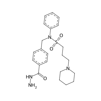 NNC(=O)c1ccc(CN(c2ccccc2)S(=O)(=O)CCCN2CCCCC2)cc1